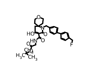 CC(C)(C)OC(=O)CNC(=O)C1=C(O)CC2(CCOCC2)N(Cc2ccc(-c3ccc(CF)cc3)cc2)C1=O